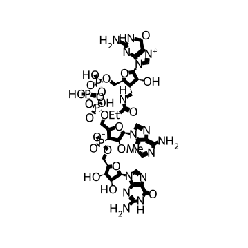 CCC(=O)NC[C@H]1[C@@H](O)[C@H](n2c[n+](C)c3c(=O)[nH]c(N)nc32)O[C@@H]1COP(=O)(O)OP(=O)(O)OP(=O)(O)OCC1O[C@@H](n2cnc3c(N)ncnc32)[C@H](OC)[C@@H]1P(=O)([O-])OC[C@H]1O[C@@H](n2cnc3c(=O)[nH]c(N)nc32)[C@H](O)[C@@H]1O